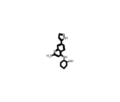 Nc1cc(N[C@@H]2CCCC[C@@H]2O)c2ccc(-c3ccn[nH]3)cc2n1